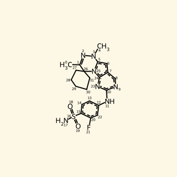 CC1=NN(C)c2cc3cnc(Nc4ccc(S(N)(=O)=O)c(F)c4)nc3n2C12CCCCC2